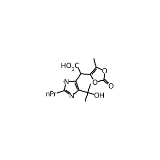 CCCC1=NC(C(C)(C)O)=C(C(C(=O)O)c2oc(=O)oc2C)[N]1